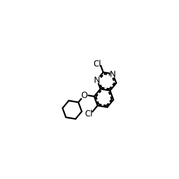 Clc1ncc2ccc(Cl)c(OC3CCCCC3)c2n1